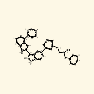 OC(CNc1cncc(-c2cc3c(-c4cc5c(-c6ccccn6)cccc5[nH]4)n[nH]c3cn2)c1)Cc1ccccc1